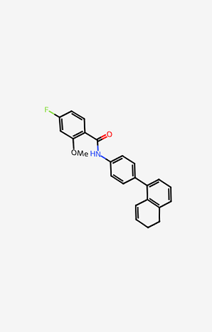 COc1cc(F)ccc1C(=O)Nc1ccc(-c2cccc3c2C=CCC3)cc1